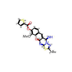 CCCCC1=NN2C(=N)/C(=C/c3ccc(OC(=O)c4cccs4)c(OC)c3)C(=O)N=C2S1